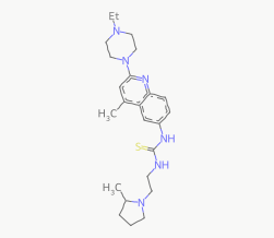 CCN1CCN(c2cc(C)c3cc(NC(=S)NCCN4CCCC4C)ccc3n2)CC1